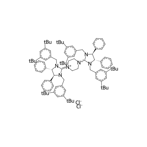 CC(C)(C)c1cc(CN2C(=[N+]3CC[N+](=C4N(Cc5cc(C(C)(C)C)cc(C(C)(C)C)c5)[C@@H](c5ccccc5)[C@H](c5ccccc5)N4Cc4cc(C(C)(C)C)cc(C(C)(C)C)c4)CC3)N(Cc3cc(C(C)(C)C)cc(C(C)(C)C)c3)[C@@H](c3ccccc3)[C@@H]2c2ccccc2)cc(C(C)(C)C)c1.[Cl-].[Cl-]